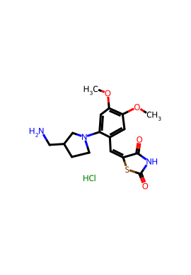 COc1cc(/C=C2/SC(=O)NC2=O)c(N2CCC(CN)C2)cc1OC.Cl